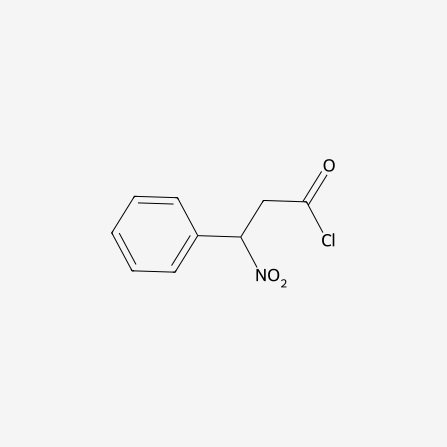 O=C(Cl)CC(c1ccccc1)[N+](=O)[O-]